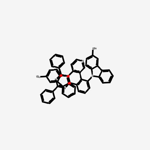 CC(C)(C)c1ccc2c(c1)c1ccccc1n2-c1ccncc1-c1c(-c2nc(-c3ccccc3)nc(-c3ccccc3)n2)cccc1-n1c2ccccc2c2cc(C(C)(C)C)ccc21